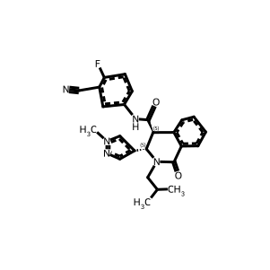 CC(C)CN1C(=O)c2ccccc2[C@H](C(=O)Nc2ccc(F)c(C#N)c2)[C@H]1c1cnn(C)c1